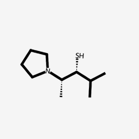 CC(C)[C@@H](S)[C@H](C)N1CCCC1